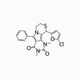 Cn1c(=O)c2c(-c3ccccc3)n3c(c2n(C)c1=O)C(c1ccc(Cl)o1)SCC3